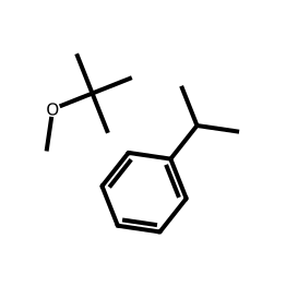 CC(C)c1ccccc1.COC(C)(C)C